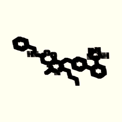 CCCCc1nc(C)n(CC(=O)NCc2ccccc2)c(=O)c1Cc1ccc(-c2ccccc2-c2nnn[nH]2)cc1